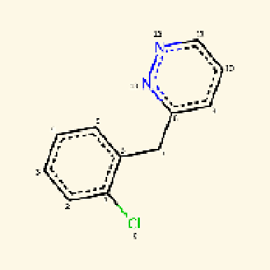 Clc1ccccc1Cc1cccnn1